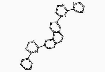 c1ccc(-c2ncnc(-c3ccc4c(ccc5ccc(-c6ncnc(-c7ccccn7)n6)cc54)c3)n2)nc1